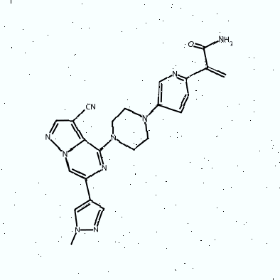 C=C(C(N)=O)c1ccc(N2CCN(c3nc(-c4cnn(C)c4)cn4ncc(C#N)c34)CC2)cn1